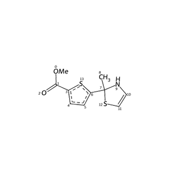 COC(=O)c1ccc(C2(C)NC=CS2)s1